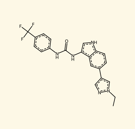 CCn1cc(-c2ccc3[nH]cc(NC(=O)Nc4ccc(C(F)(F)F)cc4)c3c2)cn1